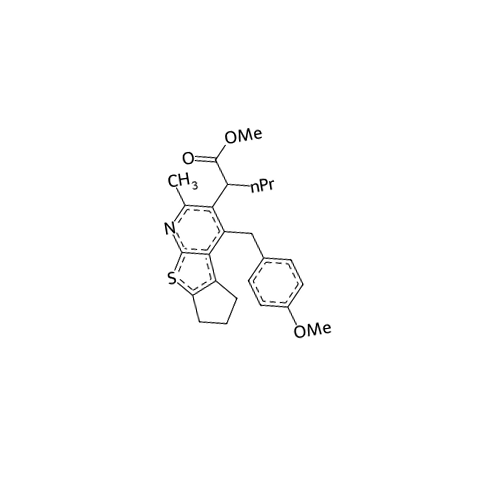 CCCC(C(=O)OC)c1c(C)nc2sc3c(c2c1Cc1ccc(OC)cc1)CCC3